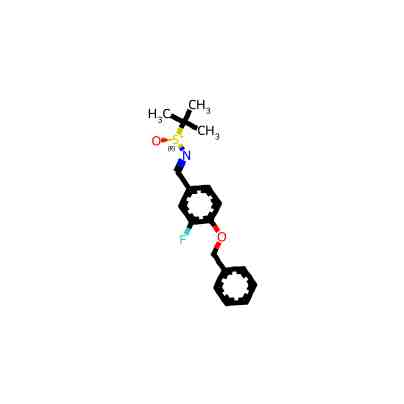 CC(C)(C)[S@+]([O-])N=Cc1ccc(OCc2ccccc2)c(F)c1